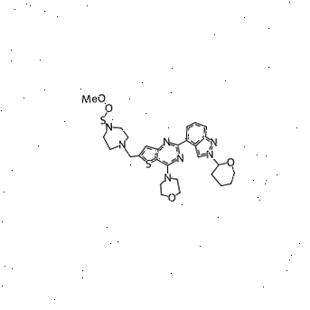 COOSN1CCN(Cc2cc3nc(-c4cccc5nn(C6CCCCO6)cc45)nc(N4CCOCC4)c3s2)CC1